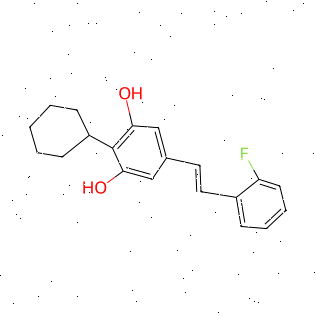 Oc1cc(C=Cc2ccccc2F)cc(O)c1C1CCCCC1